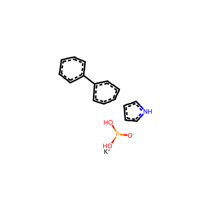 [K+].[O-]P(O)O.c1cc[nH]c1.c1ccc(-c2ccccc2)cc1